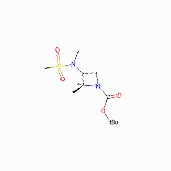 C[C@H]1C(N(C)S(C)(=O)=O)CN1C(=O)OC(C)(C)C